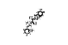 O=C(NCC[C@H]1CCCCN1)C(=O)NCc1ccccc1